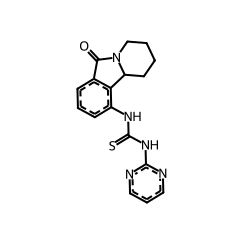 O=C1c2cccc(NC(=S)Nc3ncccn3)c2C2CCCCN12